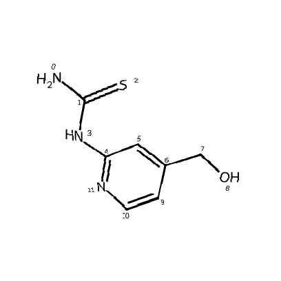 NC(=S)Nc1cc(CO)ccn1